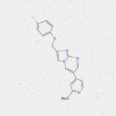 COc1cc(-c2cnc3nc(COc4ccc(F)cc4)cn3c2)ccn1